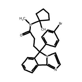 CN(C(=O)CCC1(c2ccc(Br)cc2)c2ccccc2-c2nccn21)C1(C)CCCC1